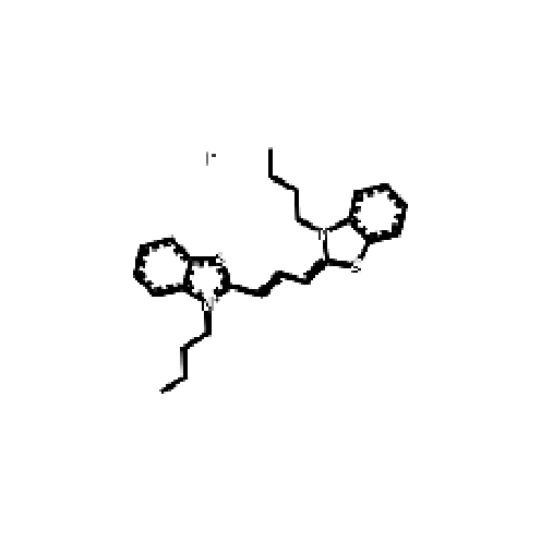 CCCCN1C(=CC=Cc2sc3ccccc3[n+]2CCCC)Sc2ccccc21.[I-]